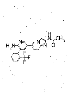 CC(=O)Nc1cn2cc(-c3cnc(N)c(-c4ccccc4C(F)(F)F)c3)ccc2n1